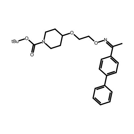 C/C(=N/OCCOC1CCN(C(=O)OC(C)(C)C)CC1)c1ccc(-c2ccccc2)cc1